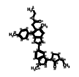 CCOC(=O)Cc1c(C)cc2nc(-c3ccc4c(c3)c(N3CCN(CC)C3=O)nn4C)sc2c1-c1ccc(C)cc1